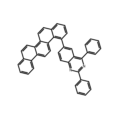 c1ccc(-c2nc(-c3ccccc3)c3cc(-c4cccc5ccc6c7ccc8ccccc8c7ccc6c45)ccc3n2)cc1